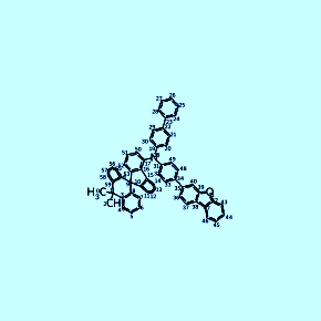 CC1(C)c2ccccc2C2(c3ccccc3-c3c(N(c4ccc(-c5ccccc5)cc4)c4ccc(-c5ccc6c(c5)oc5ccccc56)cc4)cccc32)c2ccccc21